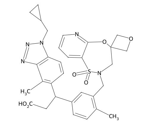 Cc1ccc(C(CC(=O)O)c2ccc3c(nnn3CC3CC3)c2C)cc1CN1CC2(COC2)Oc2ncccc2S1(=O)=O